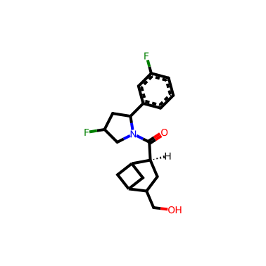 O=C([C@H]1CC(CO)C2CC1C2)N1CC(F)CC1c1cccc(F)c1